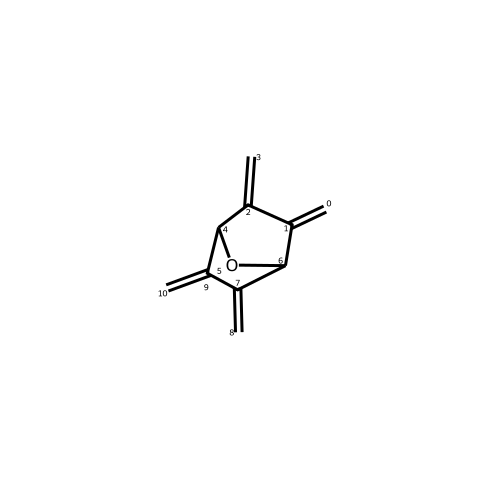 C=C1C(=C)C2OC1C(=C)C2=C